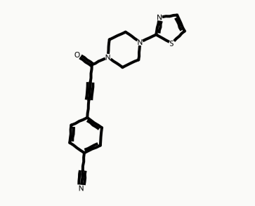 N#Cc1ccc(C#CC(=O)N2CCN(c3nccs3)CC2)cc1